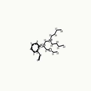 C=Cc1ccccc1[SiH](COCC)CN(CCCC)CCCC